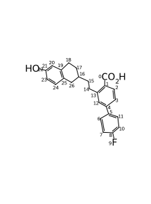 O=C(O)c1ccc(-c2ccc(F)cc2)cc1CCC1CCc2cc(O)ccc2C1